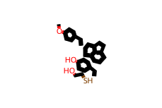 C1=Cc2cccc3cccc1c23.C=Cc1ccc(O)cc1.C=Cc1ccc(OC)cc1.OCCS